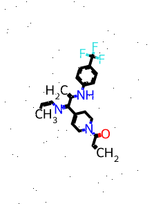 C=CC(=O)N1CC=C(/C(=N/C=C\C)C(=C)Nc2ccc(C(F)(F)F)cc2)CC1